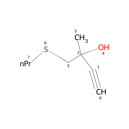 C#CC(C)(O)CSCCC